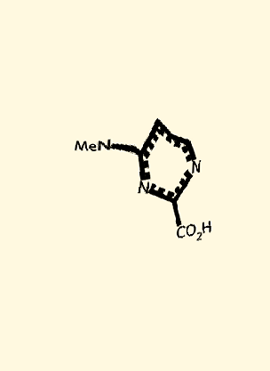 CNc1ccnc(C(=O)O)n1